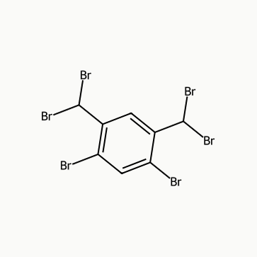 Brc1cc(Br)c(C(Br)Br)cc1C(Br)Br